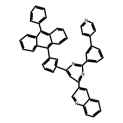 c1ccc(-c2c3ccccc3c(-c3cccc(-c4cc(-c5cnc6ccccc6c5)nc(-c5cccc(-c6ccncc6)c5)n4)c3)c3ccccc23)cc1